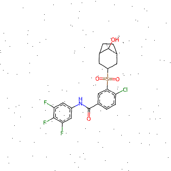 C[C@H]1CC2CC(S(=O)(=O)c3cc(C(=O)Nc4cc(F)c(F)c(F)c4)ccc3Cl)CC1[C@]2(C)O